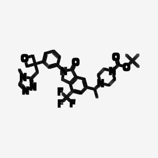 CC(c1cc2c(c(C(F)(F)F)c1)CN(c1cccc(C3(Cc4nncn4C)COC3)c1)C2=O)N1CCN(C(=O)OC(C)(C)C)CC1